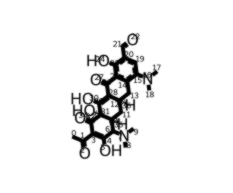 CC(=O)C1=C(O)C(N(C)C)[C@@H]2C[C@@H]3Cc4c(N(C)C)cc(C=O)c(O)c4C(=O)C3=C(O)[C@]2(O)C1=O